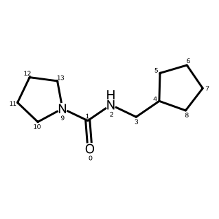 O=C(NCC1CCCC1)N1CCCC1